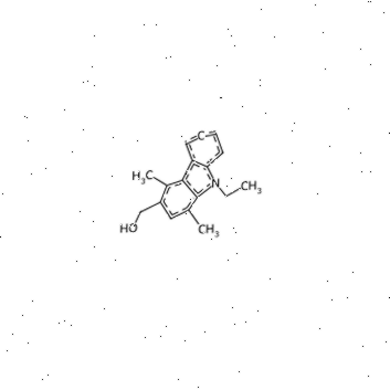 CCn1c2ccccc2c2c(C)c(CO)cc(C)c21